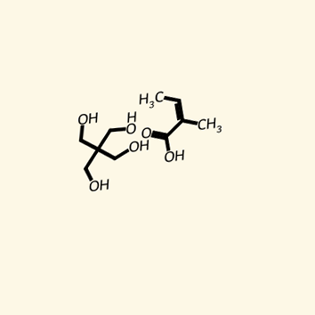 CC=C(C)C(=O)O.OCC(CO)(CO)CO